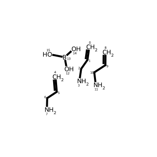 C=CCN.C=CCN.C=CCN.OB(O)O